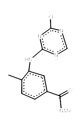 CNC(=O)c1ccc(C)c(Nc2ncnc(Cl)n2)c1